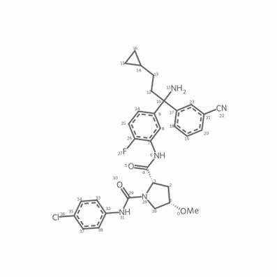 CO[C@H]1C[C@@H](C(=O)Nc2cc(C(N)(CCC3CC3)c3cccc(C#N)c3)ccc2F)N(C(=O)Nc2ccc(Cl)cc2)C1